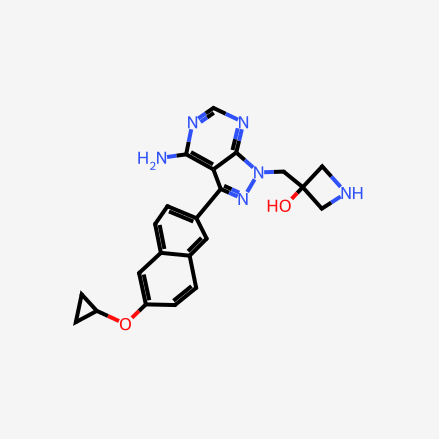 Nc1ncnc2c1c(-c1ccc3cc(OC4CC4)ccc3c1)nn2CC1(O)CNC1